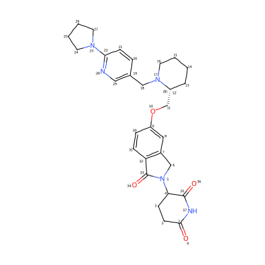 O=C1CCC(N2Cc3cc(OC[C@H]4CCCCN4Cc4ccc(N5CCCC5)nc4)ccc3C2=O)C(=O)N1